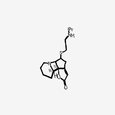 CC(C)NCCSC1CC2=CC(=O)O[C@@]23C1N1CCCC[C@@H]13